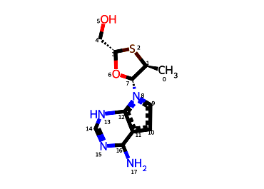 C[C@@H]1S[C@@H](CO)O[C@H]1n1ccc2c1NC=NC2N